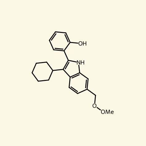 COOCc1ccc2c(C3CCCCC3)c(-c3ccccc3O)[nH]c2c1